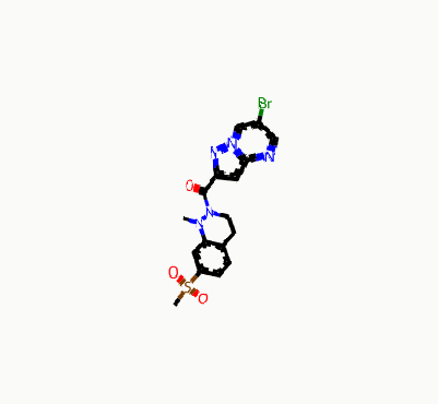 CN1c2cc(S(C)(=O)=O)ccc2CCN1C(=O)c1cc2ncc(Br)cn2n1